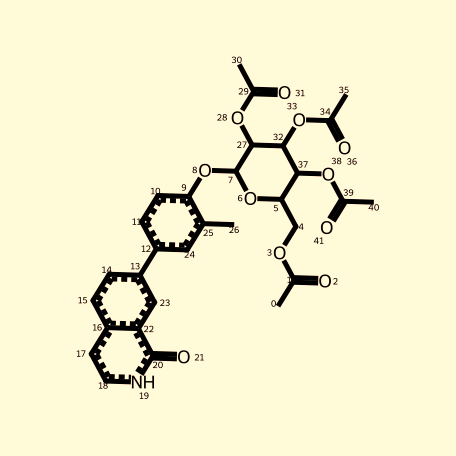 CC(=O)OCC1OC(Oc2ccc(-c3ccc4cc[nH]c(=O)c4c3)cc2C)C(OC(C)=O)C(OC(C)=O)C1OC(C)=O